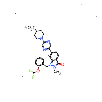 Cn1c(=O)c2ccc(-c3cnc(N4CCC(C(=O)O)CC4)cn3)cc2n1Cc1ccccc1OC(F)F